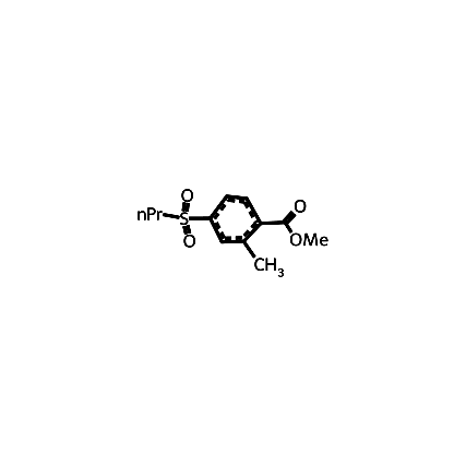 CCCS(=O)(=O)c1ccc(C(=O)OC)c(C)c1